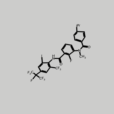 CC(C)c1ccc(C(=O)N(C)c2cccc(C(=O)Nc3c(I)cc(C(F)(C(F)(F)F)C(F)(F)F)cc3C(F)(F)F)c2F)cc1